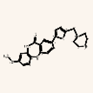 O=C1Nc2cc(OC(F)(F)F)ccc2Oc2ccc(-c3ccc(CN4CCNCC4)s3)cc21